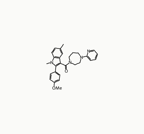 COc1ccc(-c2c(C(=O)N3CCCN(c4ccccn4)CC3)c3cc(C)ccc3n2C)cc1